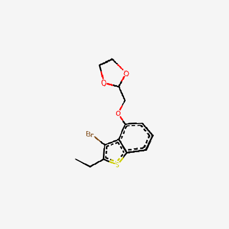 CCc1sc2cccc(OCC3OCCO3)c2c1Br